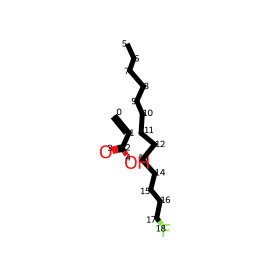 C=CC(=O)O.CCCCCCCCCCCCCF